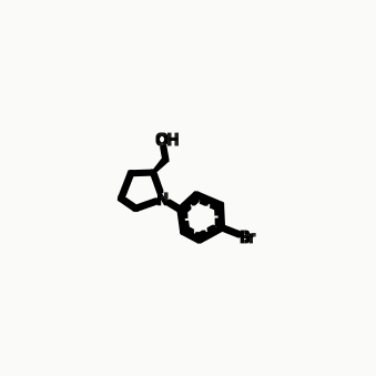 OC[C@@H]1CCCN1c1ccc(Br)cc1